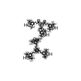 CC(C)(C)c1cc(CCC(=O)N2CN(C(=O)CCc3cc(C(C)(C)C)c(O)c(C(C)(C)C)c3)CN(C(=O)CCc3cc(C(C)(C)C)c(O)c(C(C)(C)C)c3)C2)cc(C(C)(C)C)c1O.CC(C)(C)c1cc(CCc2nc(CCc3cc(C(C)(C)C)c(O)c(C(C)(C)C)c3)nc(CCc3cc(C(C)(C)C)c(O)c(C(C)(C)C)c3)n2)cc(C(C)(C)C)c1O